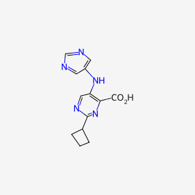 O=C(O)c1nc(C2CCC2)ncc1Nc1cncnc1